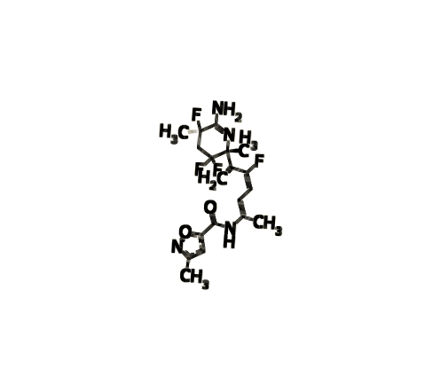 C=C(/C(F)=C\C=C(/C)NC(=O)c1cc(C)no1)[C@@]1(C)N=C(N)[C@](C)(F)CC1(F)F